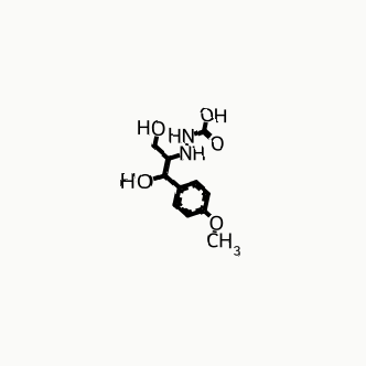 COc1ccc(C(O)C(CO)NNC(=O)O)cc1